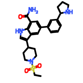 CCS(=O)(=O)N1CCC(c2c[nH]c3c(C(N)=O)cc(-c4cccc(C5CCCN5)c4)cc23)CC1